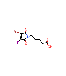 O=C(O)CCCCN1C(=O)C(Br)=C(I)C1=O